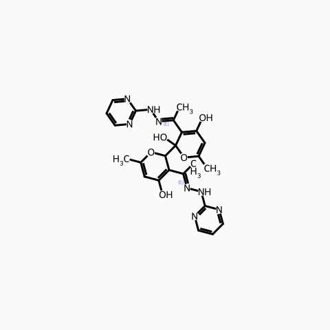 CC1=CC(O)=C(/C(C)=N/Nc2ncccn2)C(C2(O)OC(C)=CC(O)=C2/C(C)=N/Nc2ncccn2)O1